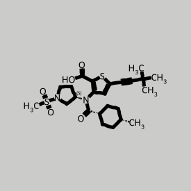 CC(C)(C)C#Cc1cc(N(C(=O)[C@H]2CC[C@@H](C)CC2)[C@H]2CCN(S(C)(=O)=O)C2)c(C(=O)O)s1